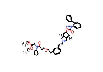 COC(CN(C(=O)CCOCCc1cccc(CCN2C[C@H]3CC(OC(=O)Nc4ccccc4-c4ccccc4)C[C@H]3C2)c1)C1CCCC1)OC